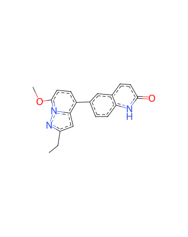 CCc1cc2c(-c3ccc4[nH]c(=O)ccc4c3)ccc(OC)n2n1